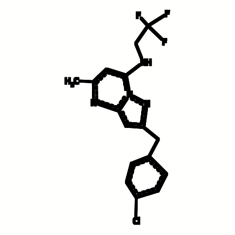 Cc1cc(NCC(F)(F)F)n2nc(Cc3ccc(Cl)cc3)cc2n1